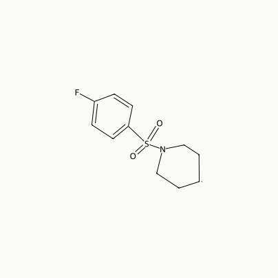 O=S(=O)(c1ccc(F)cc1)N1CC[CH]CC1